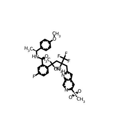 COc1ccc([C@H](C)NC(=O)c2cc(F)ccc2C(C)(C)CC(O)(Cc2cc3cc(S(C)(=O)=O)ncc3[nH]2)C(F)(F)F)cc1